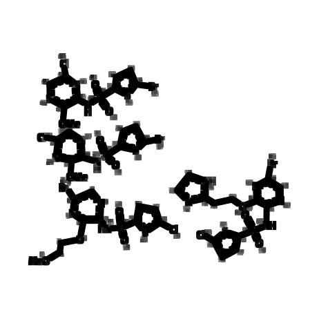 COCCOc1nc(Br)cnc1NS(=O)(=O)c1ccc(Cl)s1.COc1nc(Cl)cnc1NS(=O)(=O)c1ccc(Br)s1.COc1ncc(Cl)nc1NS(=O)(=O)c1ccc(Br)s1.O=S(=O)(Nc1ncc(Br)nc1OCCc1ncc[nH]1)c1ccc(Cl)s1